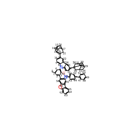 Cc1cc2c3c(c1)-n1c4ccc(C56CCC7CC(CC7C5)C6)cc4c4cc(C56CC7CC(CC(C7)C5)C6)cc(c41)B3N(c1ccc(-c3ccccc3)cc1)c1cc3c(cc1-2)oc1ccccc13